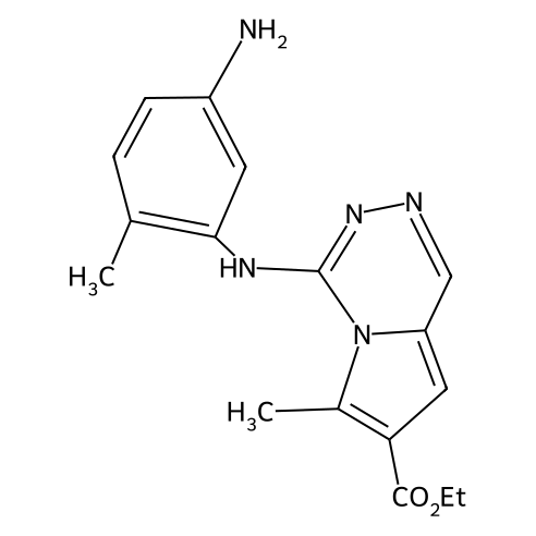 CCOC(=O)c1cc2cnnc(Nc3cc(N)ccc3C)n2c1C